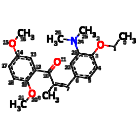 CCOc1ccc(C=C(C)C(=O)c2cc(OC)ccc2OC)cc1N(C)C